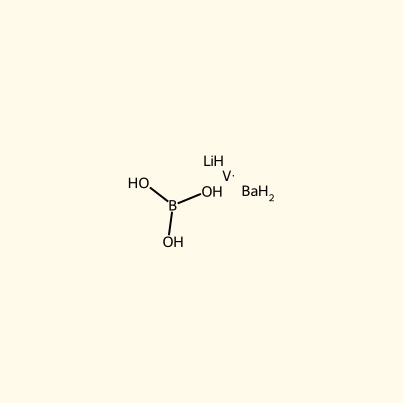 OB(O)O.[BaH2].[LiH].[V]